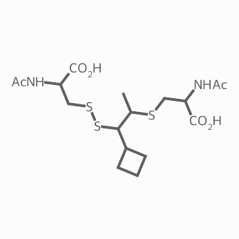 CC(=O)NC(CSSC(C1CCC1)C(C)SCC(NC(C)=O)C(=O)O)C(=O)O